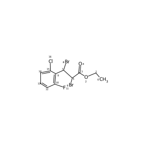 CCOC(=O)C(Br)C(Br)c1c(F)cccc1Cl